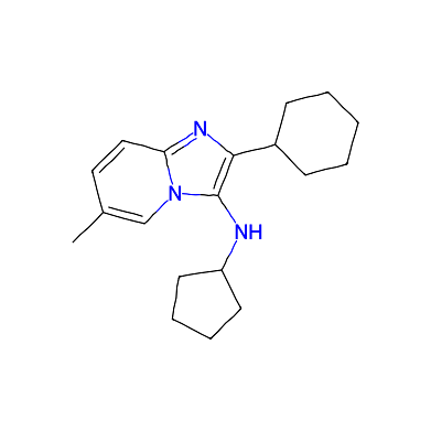 Cc1ccc2nc(C3CCCCC3)c(NC3CCCC3)n2c1